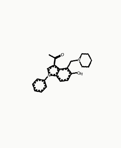 CC(=O)c1cn(-c2ccccc2)c2ccc(O)c(CN3CCCCC3)c12